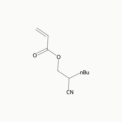 C=CC(=O)OCC(C#N)CCCC